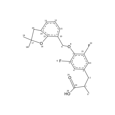 CC(Cc1cc(F)c(OCc2cccc3c2OC(C)(C)C3)c(F)c1)C(=O)O